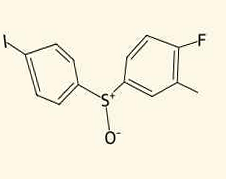 Cc1cc([S+]([O-])c2ccc(I)cc2)ccc1F